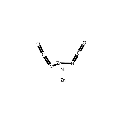 O=C=[N][Zn][N]=C=O.[Ni].[Zn]